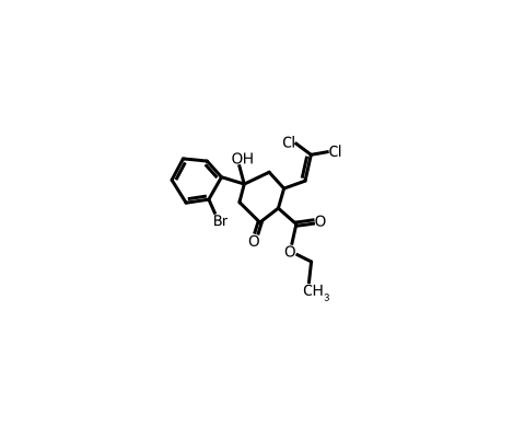 CCOC(=O)C1C(=O)CC(O)(c2ccccc2Br)CC1C=C(Cl)Cl